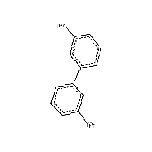 CC(C)c1cc[c]c(-c2cccc(C(C)C)c2)c1